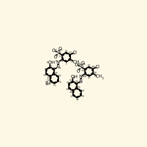 Cc1cc(N=Nc2c(O)ccc3ccccc23)c(S(=O)(=O)[O-])cc1Cl.Cc1cc(N=Nc2c(O)ccc3ccccc23)c(S(=O)(=O)[O-])cc1Cl.[Ba+2]